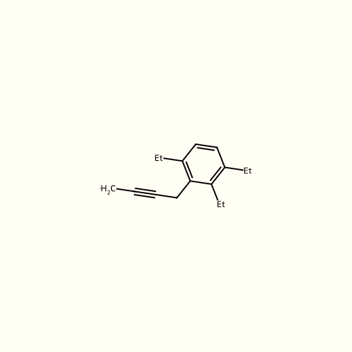 [CH2]C#CCc1c(CC)ccc(CC)c1CC